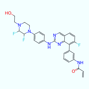 C=CC(=O)Nc1cccc(-c2c(F)ccc3cnc(Nc4ccc(N5CCN(CCO)C(F)C5F)cc4)nc23)c1